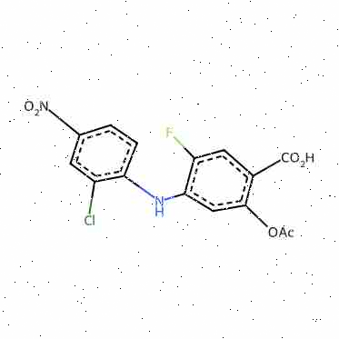 CC(=O)Oc1cc(Nc2ccc([N+](=O)[O-])cc2Cl)c(F)cc1C(=O)O